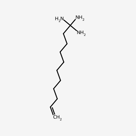 C=CCCCCCCCCC(N)(N)N